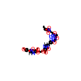 CCC1=CC2CC1C1C(=O)N(CCCCC(=O)N[C@H](C(=O)N[C@@H](C)C(=O)Nc3ccc(C4=CN5C(=O)c6cc(OC)c(OCCCOc7cc8c(cc7OC)C(=O)N7C=C(c9ccc(OC)cc9)C[C@H]7C=N8)cc6N=C[C@@H]5C4)cc3)C(C)C)C(=O)C21